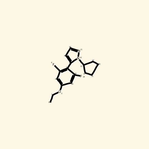 CCOc1cc(F)c(-c2ccnn2C2CCCC2)c(F)c1